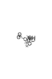 COC(=O)CCc1cc(C(C)(C)C)c(OP(O)c2ccccc2-c2ccc(C(C)(C)C)cc2)c(C(C)(C)C)c1